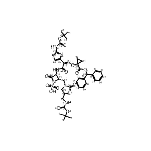 CC(C)(C)OC(=O)NCC1CN(C[C@@H]2[C@H](NC(=O)C(=NOC3(C(=O)OC(c4ccccc4)c4ccccc4)CC3)c3csc(NC(=O)OC(C)(C)C)n3)C(=O)N2S(=O)(=O)O)C(=O)O1